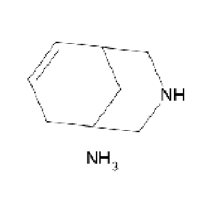 C1=CC2CNCC(C1)C2.N